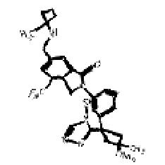 COC1(C)CC(c2cccc(N3Cc4c(cc(CNC5(C)CCC5)cc4C(F)(F)F)C3=O)c2)(c2nncn2C)C1